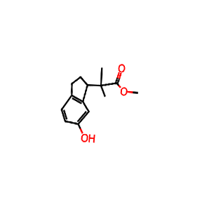 COC(=O)C(C)(C)C1CCc2ccc(O)cc21